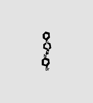 Brc1ccc(/N=N/N2CCN(c3ccccc3)CC2)cc1